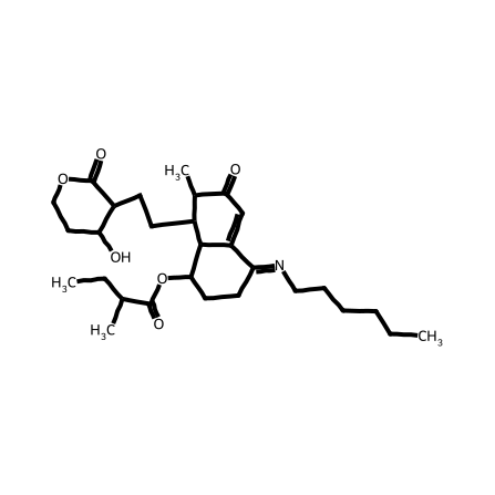 CCCCCCN=C1CCC(OC(=O)C(C)CC)C2C1=CC(=O)C(C)C2CCC1C(=O)OCCC1O